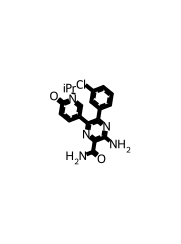 CC(C)n1cc(-c2nc(C(N)=O)c(N)nc2-c2cccc(Cl)c2)ccc1=O